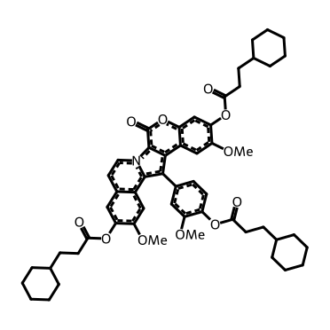 COc1cc(-c2c3c4cc(OC)c(OC(=O)CCC5CCCCC5)cc4oc(=O)c3n3ccc4cc(OC(=O)CCC5CCCCC5)c(OC)cc4c23)ccc1OC(=O)CCC1CCCCC1